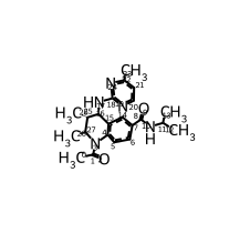 CC(=O)N1c2ccc(C(=O)NC(C)C)cc2[C@H](Nc2nccc(C)n2)[C@@H](C)[C@@H]1C